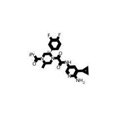 CC(C)C(=O)N1C[C@H](c2ccc(F)c(F)c2)N(C(=O)C(=O)Nc2cnc(N)c(C3CC3)c2)CC1C